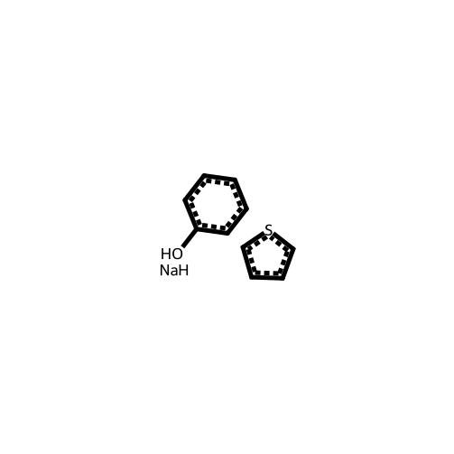 Oc1ccccc1.[NaH].c1ccsc1